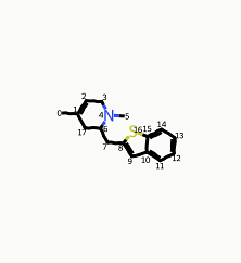 CC1=CCN(C)C(Cc2cc3ccccc3s2)C1